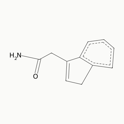 NC(=O)CC1=CCc2ccccc21